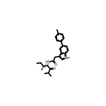 CC[C@H](C)[C@H](NC(=O)Cc1c[nH]c2ccc(-c3ccc(C)cc3)cc12)C(=O)C(C)C